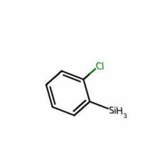 [SiH3]c1ccccc1Cl